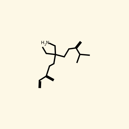 C=CC(=C)CCC(CC)(CN)CCC(=C)C(C)C